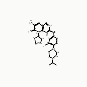 CC(C)N1CCN(c2ccc(Nc3ncc4cc(N)c(=O)n(C5CCCC5)c4n3)cc2F)CC1